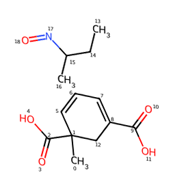 CC1(C(=O)O)C=CC=C(C(=O)O)C1.CCC(C)N=O